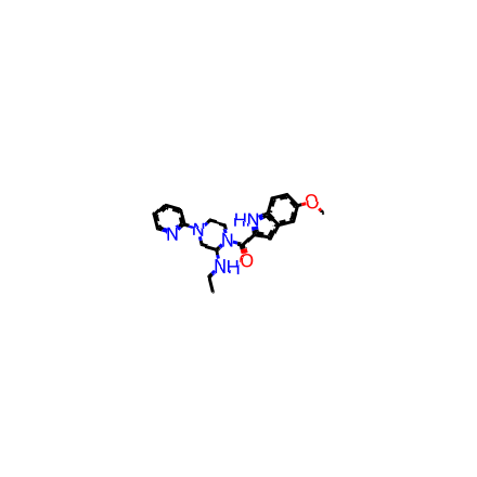 CCNC1CN(c2ccccn2)CCN1C(=O)c1cc2cc(OC)ccc2[nH]1